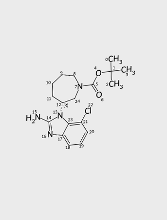 CC(C)(C)OC(=O)N1CCCC[C@@H](n2c(N)nc3cccc(Cl)c32)C1